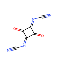 N#CN=C1C(=O)C(=NC#N)C1=O